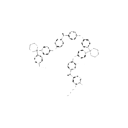 COc1ccc(C2(c3ccc(Oc4ccc(C(=O)c5ccc(Oc6ccc(C7(c8ccc(Oc9ccc(C(=O)c%10ccc(C)c(SOOO)c%10)cc9S(=O)(=O)O)cc8)CCCCC7)cc6)cc5)cc4)cc3)CCCCC2)cc1